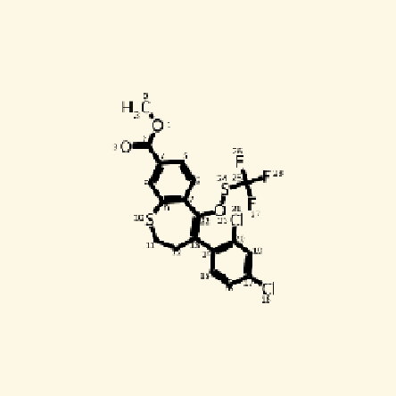 COC(=O)c1ccc2c(c1)SCCC(c1ccc(Cl)cc1Cl)=C2OSC(F)(F)F